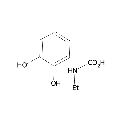 CCNC(=O)O.Oc1ccccc1O